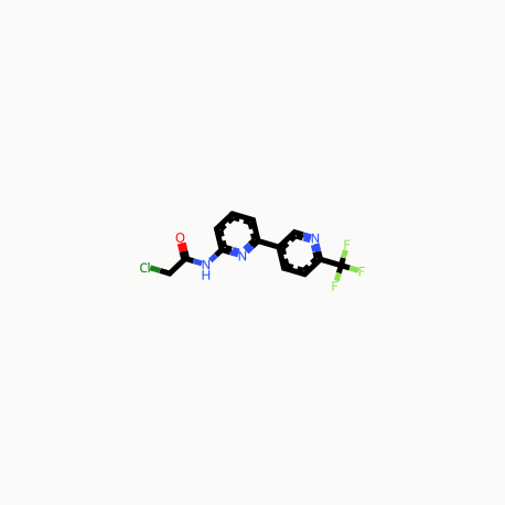 O=C(CCl)Nc1cccc(-c2ccc(C(F)(F)F)nc2)n1